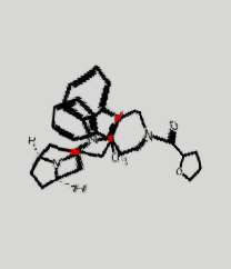 Cc1nc2ccccc2n1C1C[C@H]2CC[C@@H](C1)N2CCC1(c2ccccc2)CCN(C(=O)C2CCCO2)CC1